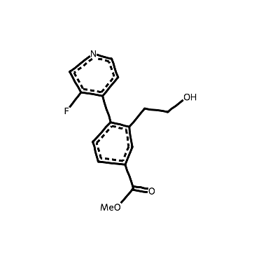 COC(=O)c1ccc(-c2ccncc2F)c(CCO)c1